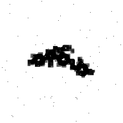 COc1cc(OCc2ncc(Br)cc2F)ccc1-c1[nH]c(-c2ccc(F)nc2)nc1Br